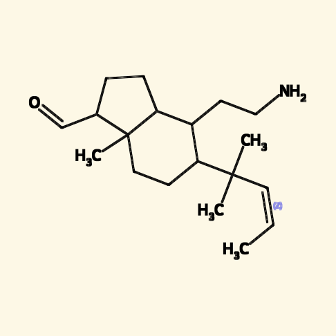 C/C=C\C(C)(C)C1CCC2(C)C(C=O)CCC2C1CCN